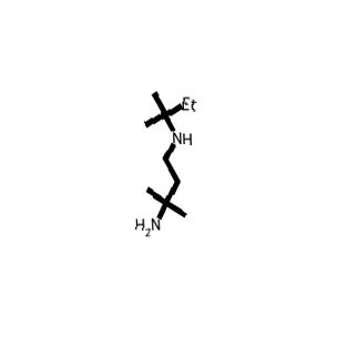 CCC(C)(C)NCCC(C)(C)N